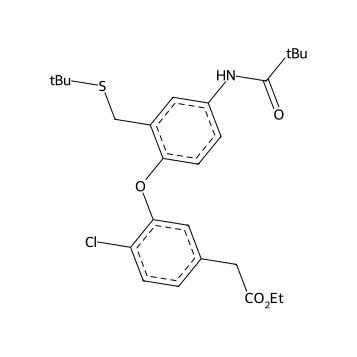 CCOC(=O)Cc1ccc(Cl)c(Oc2ccc(NC(=O)C(C)(C)C)cc2CSC(C)(C)C)c1